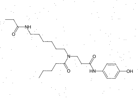 CCCCC(=O)N(CCCCCCNC(=O)CC)CCC(=O)Nc1ccc(O)cc1